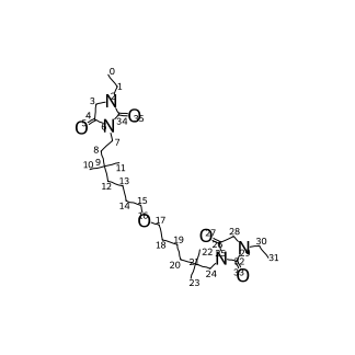 CCN1CC(=O)N(CCC(C)(C)CCCCOCCCCC(C)(C)CN2C(=O)CN(CC)C2=O)C1=O